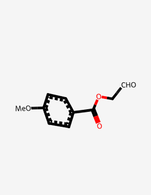 COc1ccc(C(=O)OCC=O)cc1